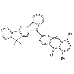 CC(C)c1ccc(C(C)C)c2c(=O)c3ccc(-n4c5ccccc5c5cc6c(cc54)C(C)(C)c4ccccc4-6)cc3oc12